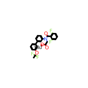 CC(C)(C)OC(=O)CN(C(=O)c1c(F)cccc1F)c1cccc(-c2cccc(OC(C)(F)F)c2)c1